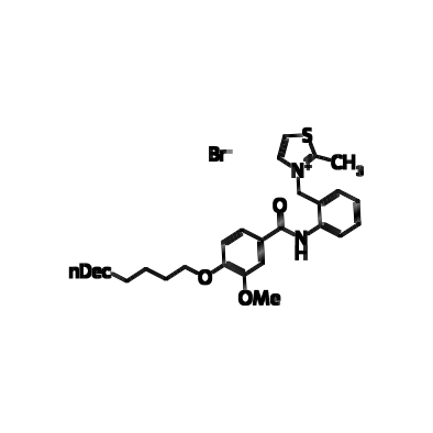 CCCCCCCCCCCCCCOc1ccc(C(=O)Nc2ccccc2C[n+]2ccsc2C)cc1OC.[Br-]